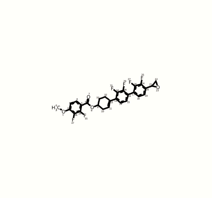 COc1ccc(C(=O)OC2CC=C(c3ccc(-c4ccc(C5CO5)c(F)c4F)c(F)c3F)CC2)c(F)c1F